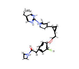 COCc1cnc(N2CCC(C3CC3CCOc3ccc(CC(=O)N4CCC4)cc3F)CC2)nc1